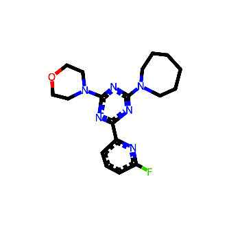 Fc1cccc(-c2nc(N3CCCCCC3)nc(N3CCOCC3)n2)n1